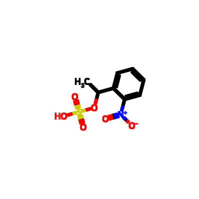 CC(OS(=O)(=O)O)c1ccccc1[N+](=O)[O-]